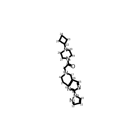 O=C(CN1CCc2nc(-n3cccn3)ncc2C1)N1CCN(C2CCC2)CC1